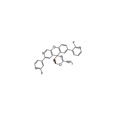 NC1=NC2(c3cc(-c4cccnc4F)ccc3Oc3cnc(-c4ccnc(F)c4)cc32)c2ncccc2O1